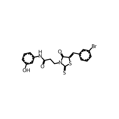 O=C(CCN1C(=O)/C(=C/c2cccc(Br)c2)SC1=S)Nc1cccc(O)c1